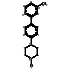 CCN1CCN(c2ccc(-c3cc(C)ccn3)cc2)CC1